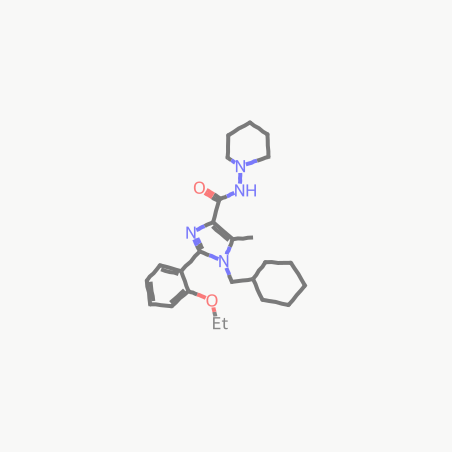 CCOc1ccccc1-c1nc(C(=O)NN2CCCCC2)c(C)n1CC1CCCCC1